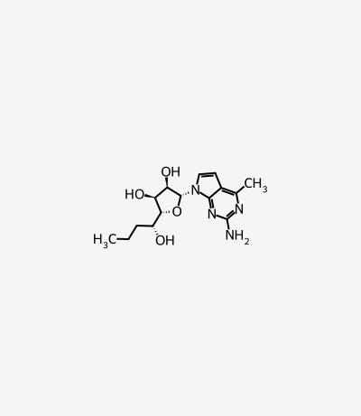 CCC[C@@H](O)[C@H]1O[C@@H](n2ccc3c(C)nc(N)nc32)[C@H](O)[C@@H]1O